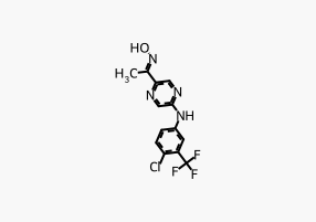 C/C(=N\O)c1cnc(Nc2ccc(Cl)c(C(F)(F)F)c2)cn1